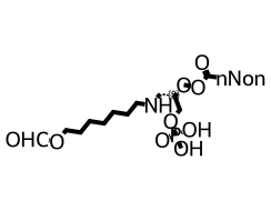 CCCCCCCCCC(=O)OO[C@@H](CNCCCCCCCOC=O)COP(=O)(O)O